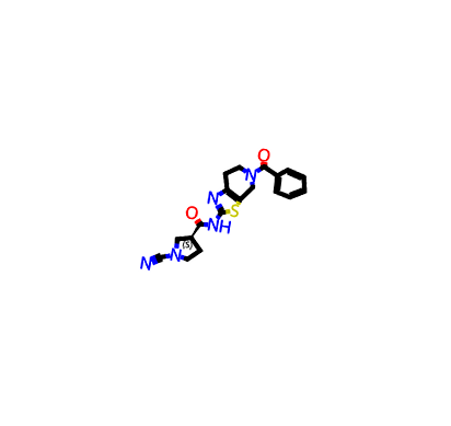 N#CN1CC[C@H](C(=O)Nc2nc3c(s2)CN(C(=O)c2ccccc2)CC3)C1